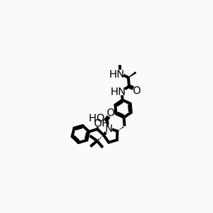 CN[C@@H](C)C(=O)Nc1ccc(C[C@@H]2CC[C@]([C@H](O)c3ccccc3)(C(C)(C)C)N2C(=O)O)cc1